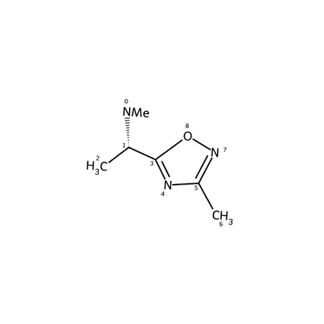 CN[C@@H](C)c1nc(C)no1